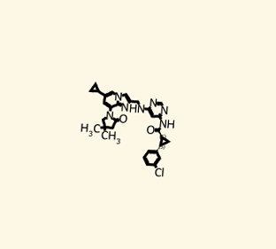 CC1(C)CC(=O)N(c2cc(C3CC3)cn3cc(CNc4cc(NC(=O)[C@H]5C[C@@H]5c5cccc(Cl)c5)ncn4)nc23)C1